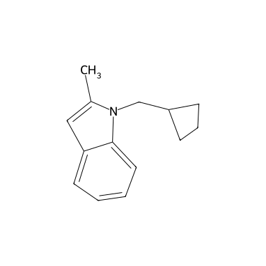 Cc1cc2ccccc2n1CC1CCC1